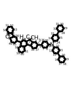 CC1(C)c2cc(-c3ccc(N(c4ccc(-c5ccccc5)cc4)c4ccc(-c5ccccc5)cc4)cc3)ccc2-c2c1cc(-c1ccc3oc4ccccc4c3c1)c1ccccc21